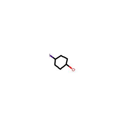 [O]C1CCC(I)CC1